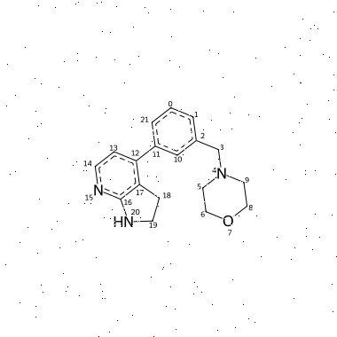 c1cc(CN2CCOCC2)cc(-c2ccnc3c2CCN3)c1